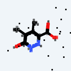 Cc1c(C(=O)O)n[nH]c(=O)c1C